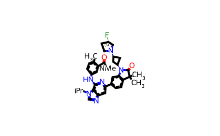 CNC(=O)c1cc(Nc2nc(-c3ccc4c(c3)N([C@H]3C[C@@H](N5CC[C@H](F)C5)C3)C(=O)C4(C)C)cc3ncn(C(C)C)c23)ccc1C